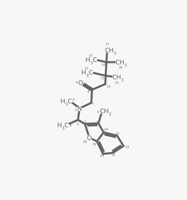 Cc1c(C(C)N(C)CC(=O)CC(C)(C)C(C)(C)C)oc2ccccc12